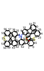 C1=Cc2c(sc3c(N(c4ccc5c(c4)C4(c6ccccc6Sc6ccccc64)c4ccccc4-5)c4cccc5c4-c4ccccc4C54c5ccccc5Sc5ccccc54)cccc23)CC1